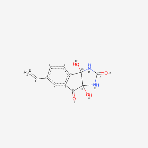 C=Cc1ccc2c(c1)C(=O)C1(O)NC(=O)NC21O